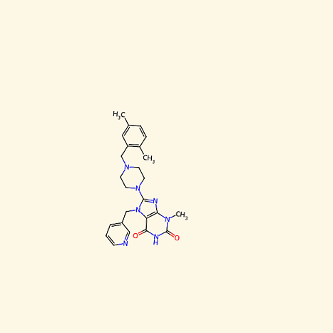 Cc1ccc(C)c(CN2CCN(c3nc4c(c(=O)[nH]c(=O)n4C)n3Cc3cccnc3)CC2)c1